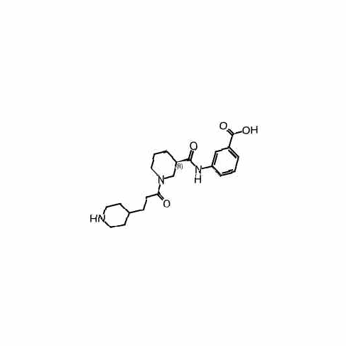 O=C(O)c1cccc(NC(=O)[C@@H]2CCCN(C(=O)CCC3CCNCC3)C2)c1